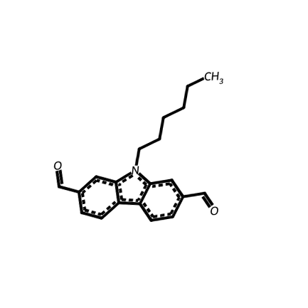 CCCCCCn1c2cc(C=O)ccc2c2ccc(C=O)cc21